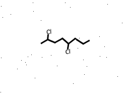 CCCC(Cl)CCC(C)Cl